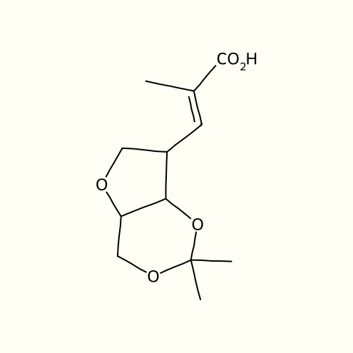 CC(=CC1COC2COC(C)(C)OC12)C(=O)O